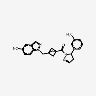 Cc1cccc(C2CC=NN2C(=O)C23CC(Cn4ncc5cc(C#N)ccc54)(C2)C3)c1